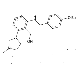 CC(C)COc1ccc(CNc2nccc(C3CCN(C)C3)c2CO)cc1